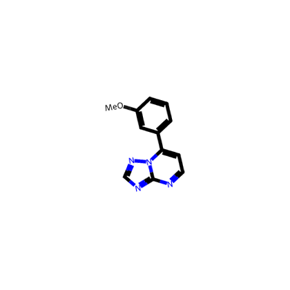 COc1cccc(-c2ccnc3ncnn23)c1